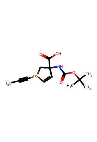 CC#C[SH]1C=CC(NC(=O)OC(C)(C)C)(C(=O)O)C1